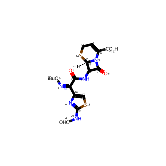 CC(C)CO/N=C(\C(=O)NC1C(=O)N2C(C(=O)O)=CCS[C@H]12)c1csc(NC=O)n1